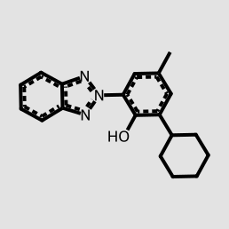 Cc1cc(C2CCCCC2)c(O)c(-n2nc3ccccc3n2)c1